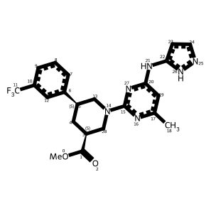 COC(=O)[C@H]1C[C@@H](c2cccc(C(F)(F)F)c2)CN(c2nc(C)cc(Nc3ccn[nH]3)n2)C1